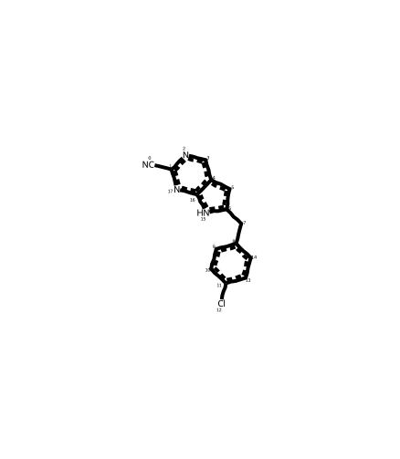 N#Cc1ncc2cc(Cc3ccc(Cl)cc3)[nH]c2n1